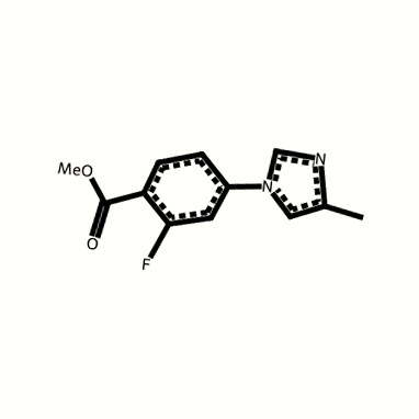 COC(=O)c1ccc(-n2cnc(C)c2)cc1F